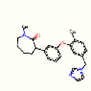 CN1CCCCC(c2cccc(Oc3cc(Cn4ccnc4)ccc3C#N)c2)C1=O